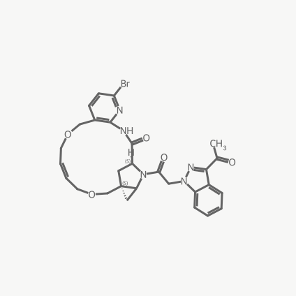 CC(=O)c1nn(CC(=O)N2C3C[C@@]34COCC=CCOCc3ccc(Br)nc3NC(=O)[C@@H]2C4)c2ccccc12